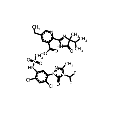 CCc1cnc(C2=NC(C)(C(C)C)C(=O)N2)c(C(=O)O)c1.Cc1nn(-c2cc(NS(C)(=O)=O)c(Cl)cc2Cl)c(=O)n1C(F)F